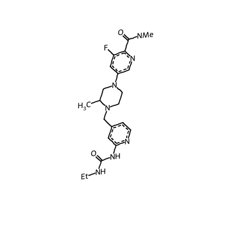 CCNC(=O)Nc1cc(CN2CCN(c3cnc(C(=O)NC)c(F)c3)CC2C)ccn1